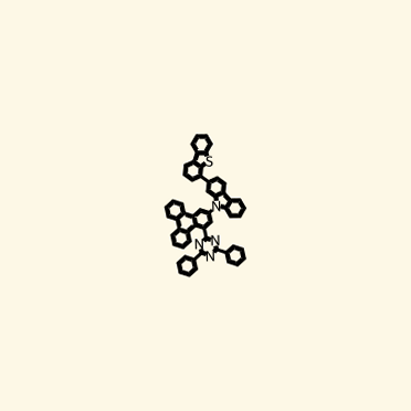 c1ccc(-c2nc(-c3ccccc3)nc(-c3cc(-n4c5ccccc5c5ccc(-c6cccc7c6sc6ccccc67)cc54)cc4c5ccccc5c5ccccc5c34)n2)cc1